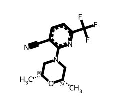 C[C@@H]1CN(c2nc(C(F)(F)F)ccc2C#N)C[C@H](C)O1